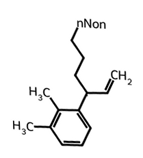 C=C[C](CCCCCCCCCCCC)c1cccc(C)c1C